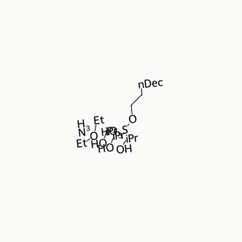 CC(C)O.CC(C)O.CC(C)O.CCCCCCCCCCCCOS(=O)(=O)O.CCOCC.N